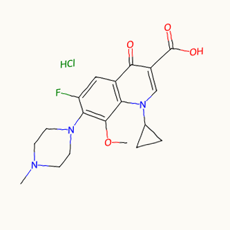 COc1c(N2CCN(C)CC2)c(F)cc2c(=O)c(C(=O)O)cn(C3CC3)c12.Cl